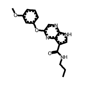 CCCNC(=O)c1c[nH]c2ncc(Oc3cccc(OC)c3)nc12